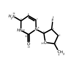 CC1CC(F)C(N2C=CC(N)NC2=O)O1